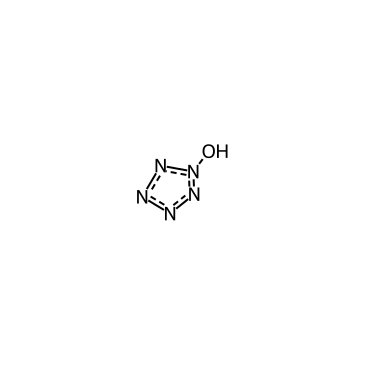 On1nnnn1